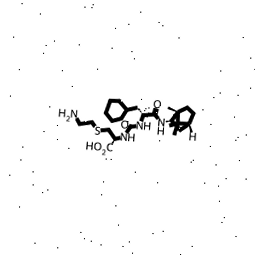 CC1(C)[C@@H]2CC[C@@]1(C)[C@@H](NC(=O)[C@@H](CC1CCCCC1)NC(=O)N[C@@H](CSCCN)C(=O)O)C2